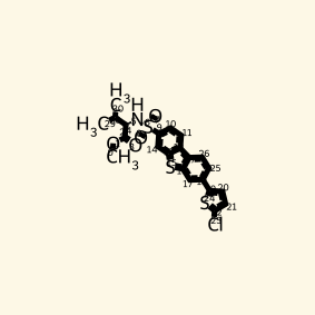 COC(=O)[C@@H](NS(=O)(=O)c1ccc2c(c1)sc1cc(-c3ccc(Cl)s3)ccc12)C(C)C